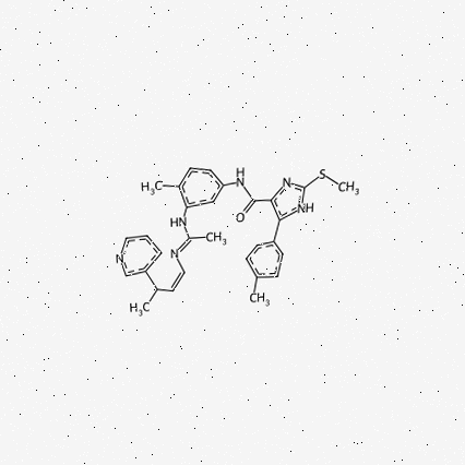 CSc1nc(C(=O)Nc2ccc(C)c(N/C(C)=N/C=C\C(C)c3cccnc3)c2)c(-c2ccc(C)cc2)[nH]1